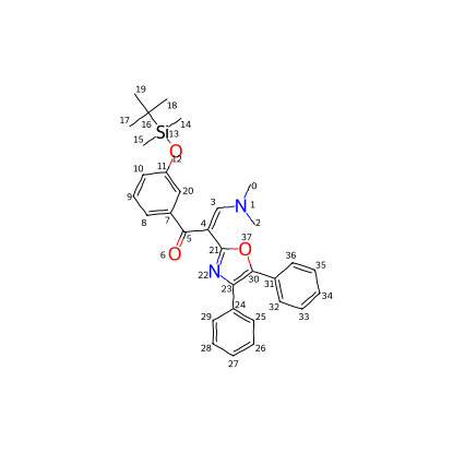 CN(C)C=C(C(=O)c1cccc(O[Si](C)(C)C(C)(C)C)c1)c1nc(-c2ccccc2)c(-c2ccccc2)o1